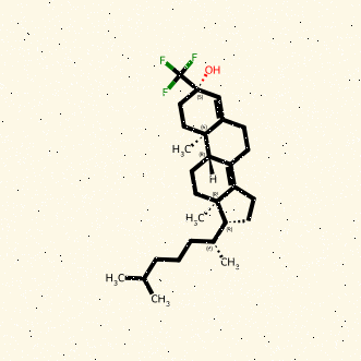 CC(C)CCC[C@@H](C)[C@H]1CCC2=C3CCC4=C[C@](O)(C(F)(F)F)CC[C@]4(C)[C@H]3CC[C@@]21C